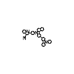 N#Cc1cc(-c2ccc(-n3c4ccc(-c5ccc6c(c5)c5ccccc5n6-c5ccccc5)cc4c4c5ccccc5ccc43)cc2)nc2ccccc12